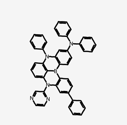 c1ccc(-c2ccc3c(c2)N(c2cnccn2)c2cccc4c2B3c2ccc(N(c3ccccc3)c3ccccc3)cc2N4c2ccccc2)cc1